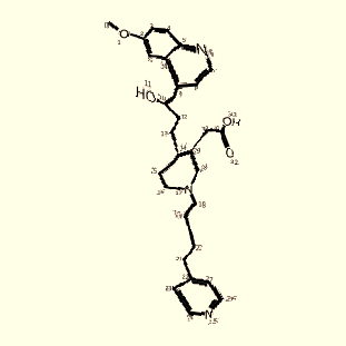 COc1ccc2nccc([C@H](O)CC[C@@H]3CCN(CCCCc4ccncc4)C[C@@H]3CC(=O)O)c2c1